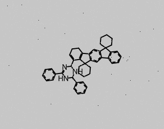 C1=C(C2N=C(c3ccccc3)NC(c3ccccc3)N2)C2=C(CC1)c1cc3c(cc1C21CCCCC1)-c1ccccc1C31CCCCC1